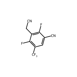 N#CCc1c(F)c(C#N)cc(C(F)(F)F)c1F